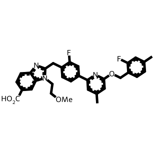 COCCn1c(Cc2ccc(-c3cc(C)cc(OCc4ccc(C)cc4F)n3)cc2F)nc2ccc(C(=O)O)cc21